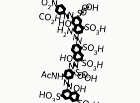 CC(=O)Nc1cc(N=Nc2c(S(=O)(=O)O)cc3c(S(=O)(=O)O)c(N=Nc4cc(S(=O)(=O)O)c5cc(SOOO)c(N=Nc6ccc([N+](=O)[O-])cc6C(=O)O)c(O)c5c4N)ccc3c2O)c(SOOO)cc1N=Nc1cc(S(=O)(=O)O)cc2cc(S(=O)(=O)O)cc(O)c12